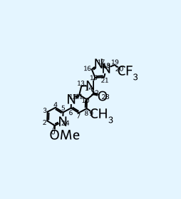 COc1cccc(-c2cc(C)c3c(n2)CN(c2cnn(CC(F)(F)F)c2)C3=O)n1